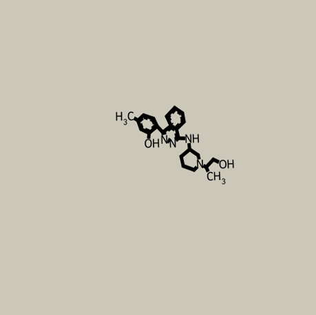 Cc1ccc(-c2nnc(NC3CCCN(C(C)CO)C3)c3ccccc23)c(O)c1